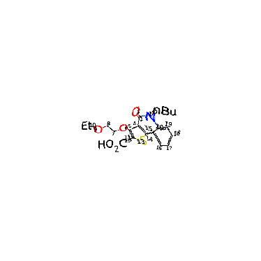 CCCCn1c(=O)c2c(OCCOCC)c(C(=O)O)sc2c2ccccc21